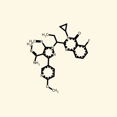 C=Nc1c(/C(N)=N\C)c(-c2ccc(OC)nc2)nn1C(CC)c1nc2cccc(F)c2c(=O)n1C1CC1